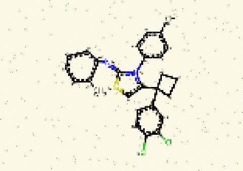 Cc1ccc(-n2c(C3(c4ccc(Cl)c(Cl)c4)CCC3)csc2=Nc2ccccc2C)cc1